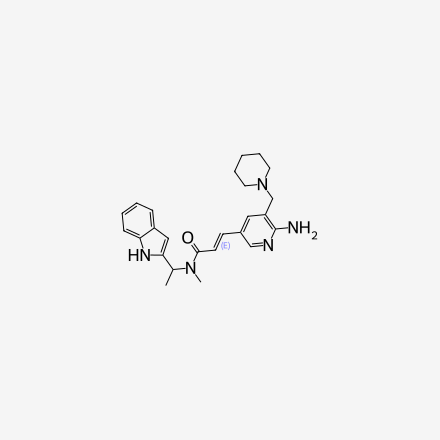 CC(c1cc2ccccc2[nH]1)N(C)C(=O)/C=C/c1cnc(N)c(CN2CCCCC2)c1